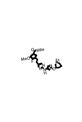 CCN1CCCC(On2cc(Nc3ncc(CCc4cc(C(=O)NC)cc(OC)c4F)cn3)cn2)C1